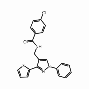 O=C(NCc1cn(-c2ccccc2)nc1-c1cccs1)c1ccc(Cl)cc1